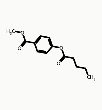 CCC[CH]C(=O)Oc1ccc(C(=O)OC)cc1